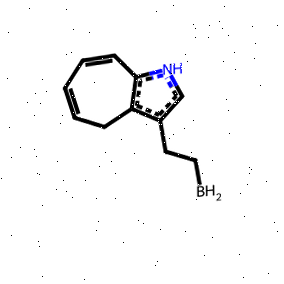 BCCc1c[nH]c2c1CC=CC=C2